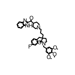 COc1cc(CN2CCC(CCCN3CCC(C(=O)c4nc5ccccc5[nH]4)CC3)(Cc3ccc(F)cc3)C2=O)cc(OC)c1OC